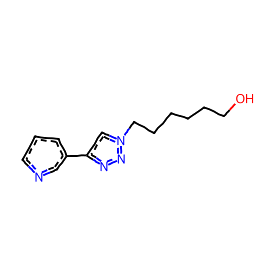 OCCCCCCn1cc(-c2cccnc2)nn1